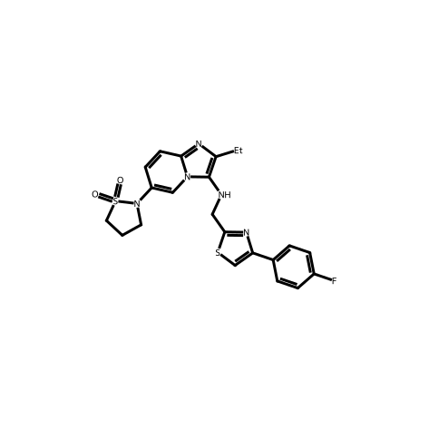 CCc1nc2ccc(N3CCCS3(=O)=O)cn2c1NCc1nc(-c2ccc(F)cc2)cs1